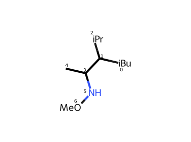 CCC(C)C(C(C)C)C(C)NOC